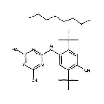 CC(C)(C)c1cc(Nc2nc(S)nc(S)n2)c(C(C)(C)C)cc1O.CCCCCCCC